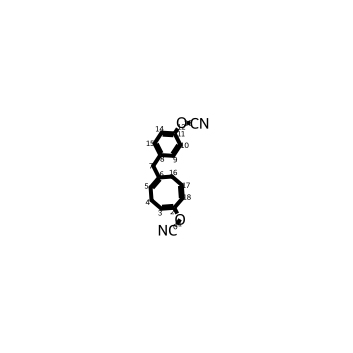 N#COC1=C/C/C=C(/Cc2ccc(OC#N)cc2)C/C=C\1